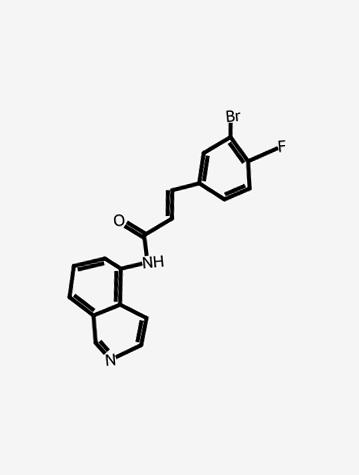 O=C(C=Cc1ccc(F)c(Br)c1)Nc1cccc2cnccc12